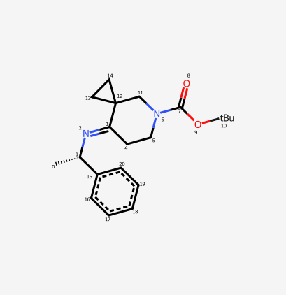 C[C@H](/N=C1\CCN(C(=O)OC(C)(C)C)CC12CC2)c1ccccc1